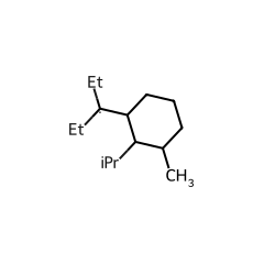 CC[C](CC)C1CCCC(C)C1C(C)C